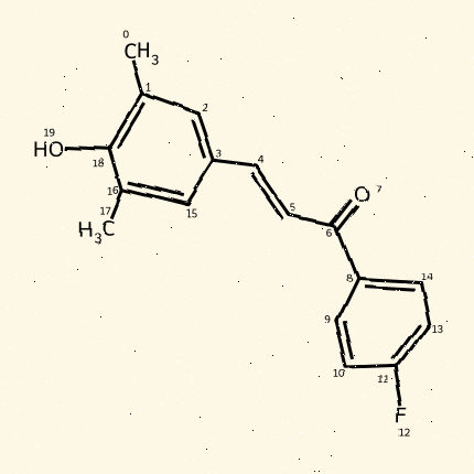 Cc1cc(C=CC(=O)c2ccc(F)cc2)cc(C)c1O